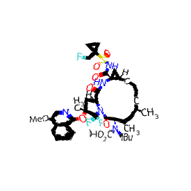 CCC(C)N(C(=O)O)[C@@H]1C(=O)N2[C@@H](C[C@@](C)(Oc3ncc(OC)c4ccccc34)C2(F)F)C(=O)N[C@]2(C(=O)NS(=O)(=O)C3(CF)CC3)C[C@H]2CCCC[C@@H](C)C[C@H]1C